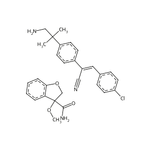 CC(C)(CN)c1ccc(/C(C#N)=C/c2ccc(Cl)cc2)cc1.COC1(C(N)=O)COc2ccccc21